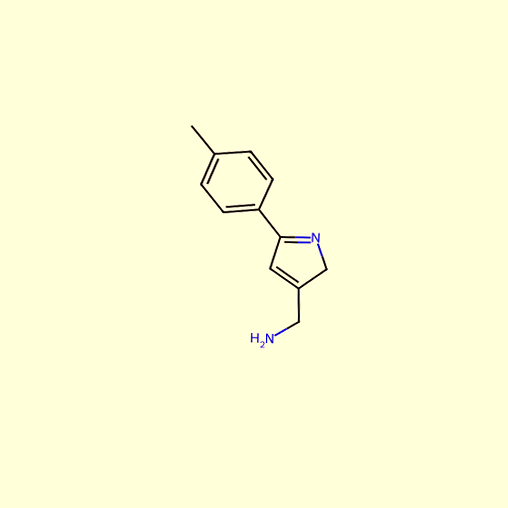 Cc1ccc(C2=NCC(CN)=C2)cc1